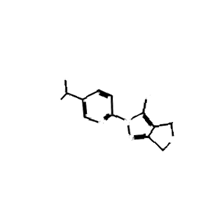 CC(C)c1ccc(-n2nc3c(c2O)CSC3)nc1